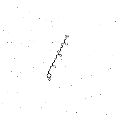 O=C(CCSCCC(=O)OCCCOC(=O)CCS)COCC1CC2OC2C1